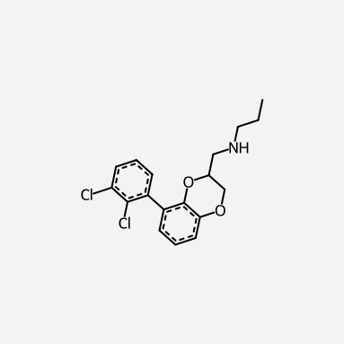 CCCNCC1COc2cccc(-c3cccc(Cl)c3Cl)c2O1